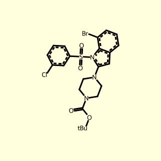 CC(C)(C)OC(=O)N1CCN(c2cc3cccc(Br)c3n2S(=O)(=O)c2cccc(Cl)c2)CC1